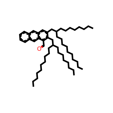 CCCCCCCCCCC(CCCCCCCC)Cc1cc2cc3ccccc3cc2c(C=O)c1CC(CCCCCCCC)CCCCCCCCCC